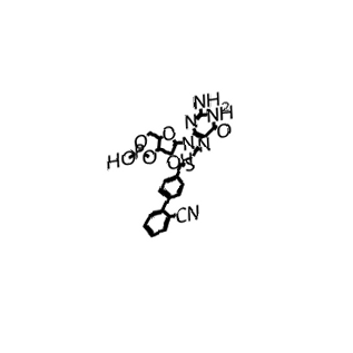 N#Cc1ccccc1-c1ccc(CSc2nc3c(=O)[nH]c(N)nc3n2C2OC3COP(O)OC3C2O)cc1